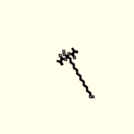 C=C(C)C(=O)OC(O)(CCCCCCCCCCCCCO)OC(=O)C(=C)C